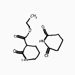 CCOC(=O)C1CCCNC1=O.O=C1CCCC(=O)N1